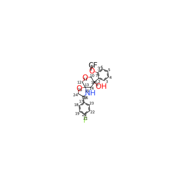 O[C@]1(c2ccccc2OC(F)(F)F)COCC2(C1)N[C@@H](c1ccc(F)cc1)CO2